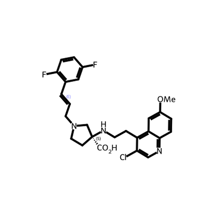 COc1ccc2ncc(Cl)c(CCN[C@@]3(C(=O)O)CCN(C/C=C/c4cc(F)ccc4F)C3)c2c1